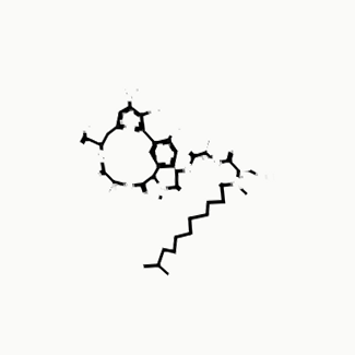 CC(C)CCCCCCCCC(=O)N(C)[C@H](CO)C(=O)N[C@H](C)C(=O)NCC(=O)N(C)C1C(=O)N[C@@H](C)C(=O)NC(C(=O)O)Cc2cc(c(O)c([N+](=O)[O-])c2)-c2cc1ccc2O